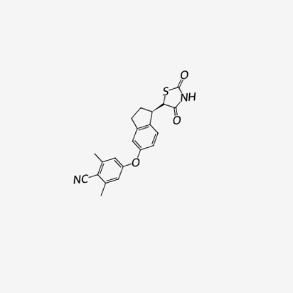 Cc1cc(Oc2ccc3c(c2)CC[C@H]3C2SC(=O)NC2=O)cc(C)c1C#N